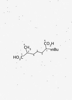 CCCCC(CCCC(C)C(=O)O)C(=O)O